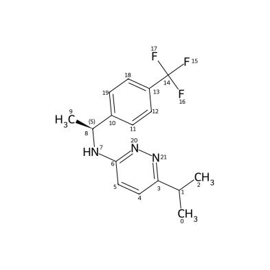 CC(C)c1ccc(N[C@@H](C)c2ccc(C(F)(F)F)cc2)nn1